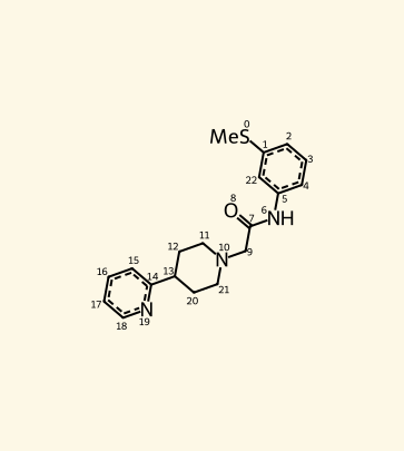 CSc1cccc(NC(=O)CN2CCC(c3ccccn3)CC2)c1